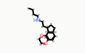 CCCCNCCC1CCc2ccc3c(c21)OCCO3